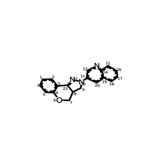 c1ccc2c(c1)OCC1CN(c3cnc4ccccc4c3)N=C21